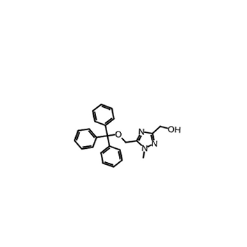 Cn1nc(CO)nc1COC(c1ccccc1)(c1ccccc1)c1ccccc1